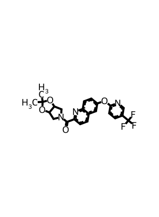 CC1(C)OC2CN(C(=O)c3ccc4cc(Oc5ccc(C(F)(F)F)cn5)ccc4n3)CC2O1